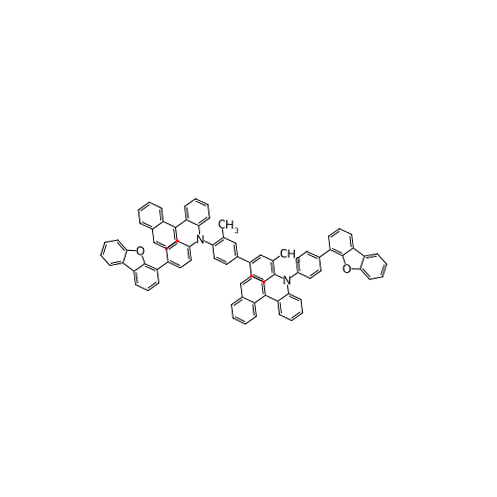 Cc1cc(-c2ccc(N(c3ccc(-c4cccc5c4oc4ccccc45)cc3)c3ccccc3-c3cccc4ccccc34)c(C)c2)ccc1N(c1ccc(-c2cccc3c2oc2ccccc23)cc1)c1ccccc1-c1cccc2ccccc12